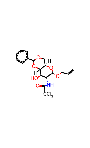 C=CCO[C@H]1O[C@@H]2COC(c3ccccc3)O[C@H]2[C@H](O)[C@H]1NC(=O)C(Cl)(Cl)Cl